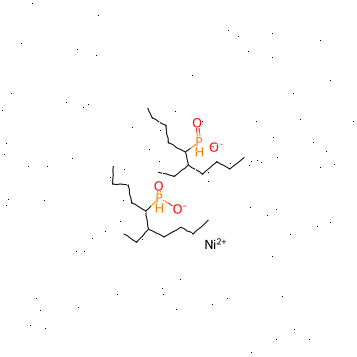 CCCCC(CC)C(CCCC)[PH](=O)[O-].CCCCC(CC)C(CCCC)[PH](=O)[O-].[Ni+2]